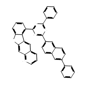 c1ccc(-c2ccc3cc(-c4nc(-c5ccccc5)nc(-c5cccc6oc7cc8ncccc8cc7c56)n4)ccc3c2)cc1